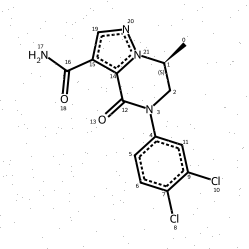 C[C@H]1CN(c2ccc(Cl)c(Cl)c2)C(=O)c2c(C(N)=O)cnn21